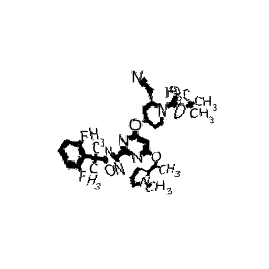 C[C@H](Oc1cc(O[C@H]2CCN(C(=O)OC(C)(C)C)[C@H](CC#N)C2)nc(-c2noc(C(C)(C)c3c(F)cccc3F)n2)n1)[C@@H]1CCCN1C